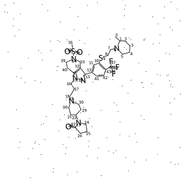 CC1CCCCN1CCSc1cc(-c2nn(CCCN3CCC(N4CCCC4=O)CC3)c3c2CN(S(C)(=O)=O)CC3)ccc1C(F)(F)F